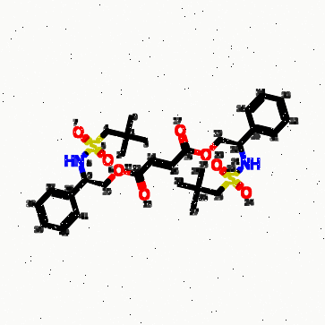 CC(C)(C)CS(=O)(=O)N[C@@H](COC(=O)/C=C/C(=O)OC[C@H](NS(=O)(=O)CC(C)(C)C)c1ccccc1)c1ccccc1